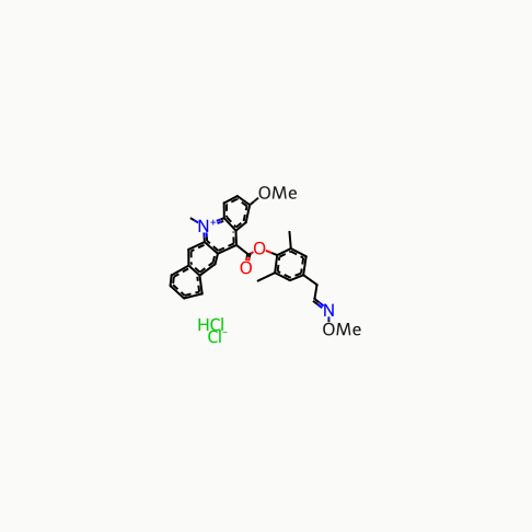 CON=CCc1cc(C)c(OC(=O)c2c3cc(OC)ccc3[n+](C)c3cc4ccccc4cc23)c(C)c1.Cl.[Cl-]